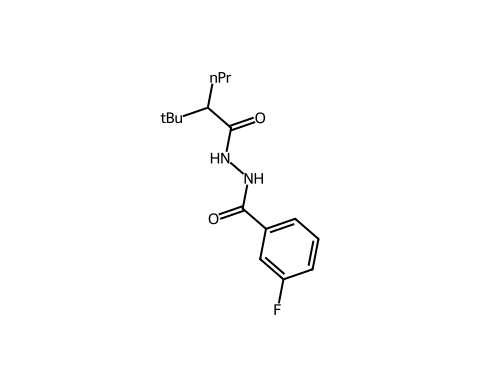 CCCC(C(=O)NNC(=O)c1cccc(F)c1)C(C)(C)C